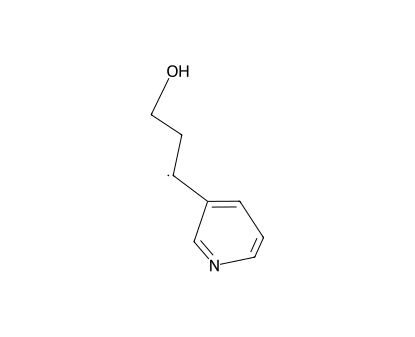 OCC[CH]c1cccnc1